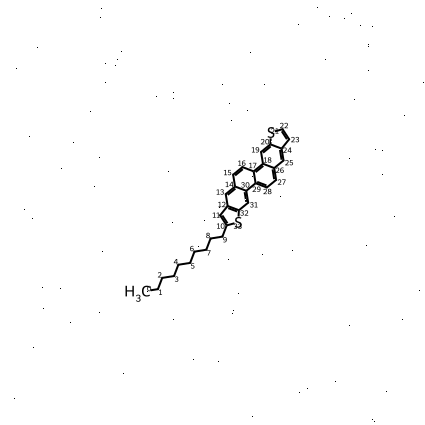 CCCCCCCCCCc1cc2cc3ccc4c5cc6sccc6cc5ccc4c3cc2s1